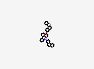 c1ccc(-c2ccccc2N(c2ccc(-c3ccc4c(ccc5sc6ccccc6c54)c3)cc2)c2ccc3c(ccc4ccccc43)c2)cc1